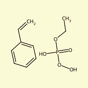 C=Cc1ccccc1.CCOP(=O)(O)OO